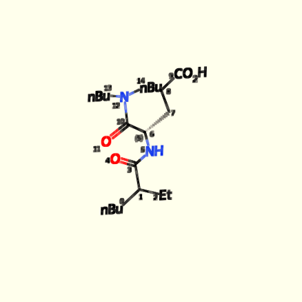 CCCCC(CC)C(=O)N[C@@H](CCC(=O)O)C(=O)N(CCCC)CCCC